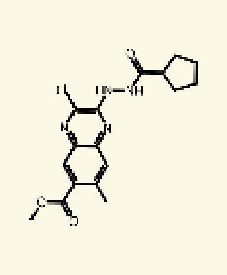 COC(=O)c1cc2nc(Cl)c(NNC(=O)C3CCCC3)nc2cc1C